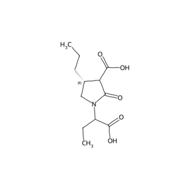 CCC[C@H]1CN(C(CC)C(=O)O)C(=O)C1C(=O)O